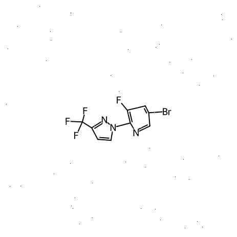 Fc1cc(Br)cnc1-n1ccc(C(F)(F)F)n1